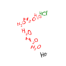 Cl.O.O.O.O.O.O.[Ho]